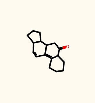 O=C1CC2C(=C3CCCCC13)C=CC1CCCC12